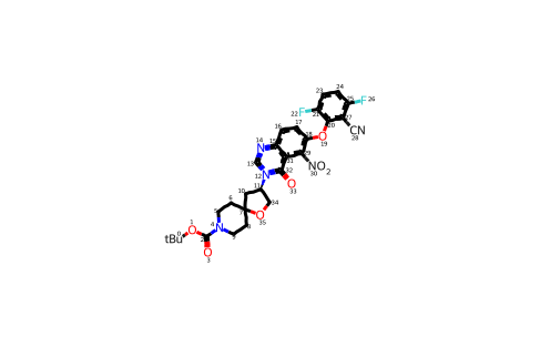 CC(C)(C)OC(=O)N1CCC2(CC1)C[C@@H](n1cnc3ccc(Oc4c(F)ccc(F)c4C#N)c([N+](=O)[O-])c3c1=O)CO2